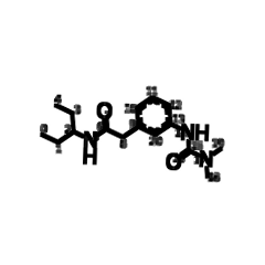 CCC(CC)NC(=O)Cc1cccc(NC(=O)N(C)C)c1